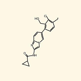 O=C(Nc1cn2cc(-c3ccc(F)c(Cl)c3CO)ccc2n1)C1CC1